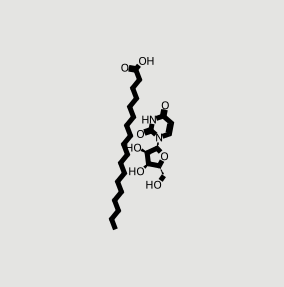 CCCCCCCCCCCCCCCCCC(=O)O.O=c1ccn([C@@H]2O[C@H](CO)[C@@H](O)[C@H]2O)c(=O)[nH]1